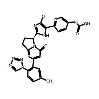 Cc1ccc(-n2cnnn2)c(-c2cc(=O)n3c(n2)CC[C@H]3c2nc(Cl)c(-c3ccc(NC(=O)O)cn3)[nH]2)c1